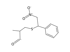 CC([C]=O)CSC(C[N+](=O)[O-])c1ccccc1